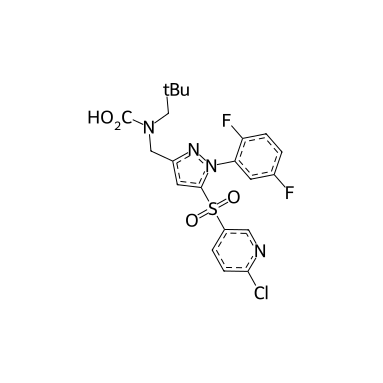 CC(C)(C)CN(Cc1cc(S(=O)(=O)c2ccc(Cl)nc2)n(-c2cc(F)ccc2F)n1)C(=O)O